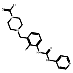 O=C(Nc1ccncc1)Nc1cccc(CN2CCN(C(=O)O)CC2)c1F